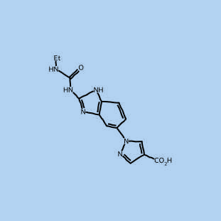 CCNC(=O)Nc1nc2cc(-n3cc(C(=O)O)cn3)ccc2[nH]1